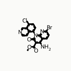 COC(=O)c1c(N)c2ccc(Br)nc2n(-c2ccc(Cl)c3cnccc23)c1=O